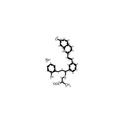 CC(=O)c1ccccc1CCC(SCC(C)C(=O)[O-])c1cccc(/C=C/c2ccc3ccc(Cl)cc3n2)c1.[Na+]